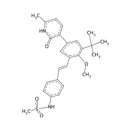 COc1c(C=Cc2ccc(NS(C)(=O)=O)cc2)cc(-c2ccc(C)[nH]c2=O)cc1C(C)(C)C